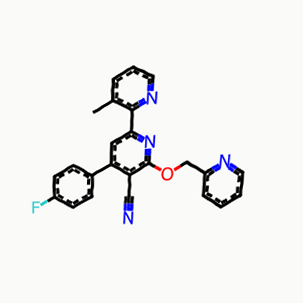 Cc1cccnc1-c1cc(-c2ccc(F)cc2)c(C#N)c(OCc2ccccn2)n1